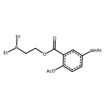 CCN(CC)CCOC(=O)c1cc(NC(C)=O)ccc1OC(C)=O